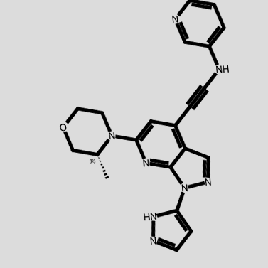 C[C@@H]1COCCN1c1cc(C#CNc2cccnc2)c2cnn(-c3ccn[nH]3)c2n1